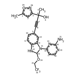 Cc1cc(C(C)(O)C#Cc2ccc3c(c2)N(c2ccnc(N)n2)C(OCC(F)(F)F)N3)no1